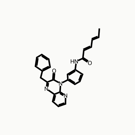 C/C=C/C=C/C(=O)Nc1cccc(-n2c(=O)c(Cc3ccccc3)nc3cccnc32)c1